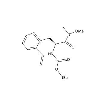 C=Cc1ccccc1C[C@H](NC(=O)OC(C)(C)C)C(=O)N(C)OC